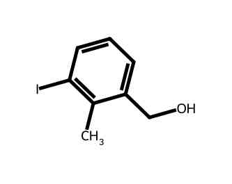 Cc1c(I)cccc1CO